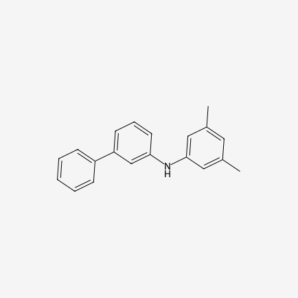 Cc1cc(C)cc(Nc2cccc(-c3ccccc3)c2)c1